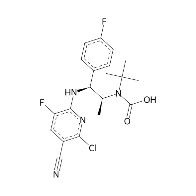 C[C@@H]([C@@H](Nc1nc(Cl)c(C#N)cc1F)c1ccc(F)cc1)N(C(=O)O)C(C)(C)C